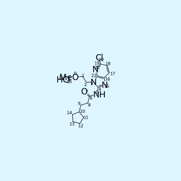 COCCn1c(NC(=O)CCC2CCCC2)nc2ccc(Cl)nc21.Cl